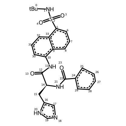 CC(C)(C)NS(=O)(=O)c1cccc2c(NC(=O)[C@H](Cc3cnc[nH]3)NC(=O)c3ccccc3)cccc12